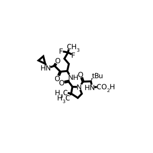 CC(F)(F)CCC(NC(=O)C1N(C(=O)[C@@H](NC(=O)O)C(C)(C)C)CCC1(C)C)C(=O)C(=O)NC1CC1